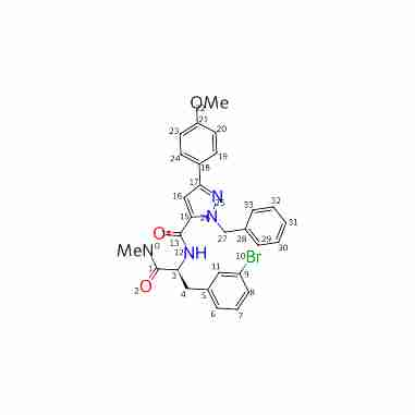 CNC(=O)[C@H](Cc1cccc(Br)c1)NC(=O)c1cc(-c2ccc(OC)cc2)nn1Cc1ccccc1